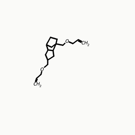 C=CCOCC1CC2C3CCC(COCC=C)(C3)C2C1